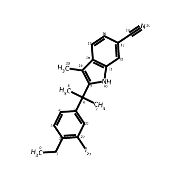 CCc1ccc(C(C)(C)c2[nH]c3cc(C#N)ccc3c2C)cc1I